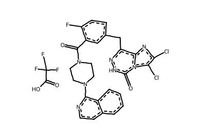 O=C(O)C(F)(F)F.O=C(c1cc(Cc2n[nH]c(=O)n3c(Cl)c(Cl)nc23)ccc1F)N1CCN(c2nccc3ccccc23)CC1